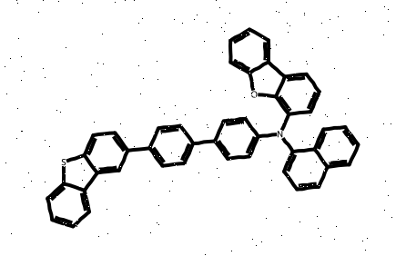 c1ccc2c(N(c3ccc(-c4ccc(-c5ccc6sc7ccccc7c6c5)cc4)cc3)c3cccc4c3oc3ccccc34)cccc2c1